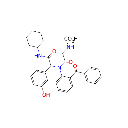 O=C(O)NCC(=O)N(c1ccccc1C(=O)c1ccccc1)C(C(=O)NC1CCCCC1)c1cccc(O)c1